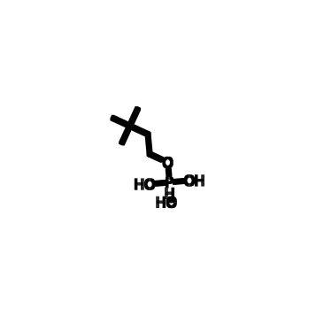 CC(C)(C)CCO[PH](O)(O)O